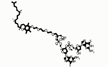 COP(=O)(OC[C@H]1O[C@@H](n2cnc3c(=S)[nH]c(N)nc32)CC1O)OC1C[C@H](n2cnc3c(=S)[nH]c(N)nc32)O[C@@H]1COP(=O)(O)O[C@H](CO)COCCOCCOCCOc1c(C)c(C)c2c(c1C)CC[C@@](C)(CCC[C@H](C)CCC[C@H](C)CCCC(C)C)O2